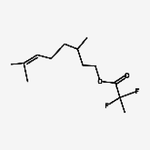 CC(C)=CCCC(C)CCOC(=O)C(C)(F)F